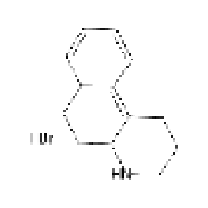 Br.C1=CC2=C3CCCNC3CCC2C=C1